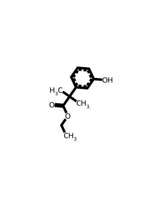 CCOC(=O)C(C)(C)c1cccc(O)c1